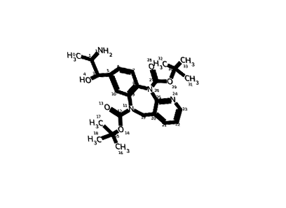 CC(N)C(O)c1ccc2c(c1)N(C(=O)OC(C)(C)C)Cc1cccnc1N2C(=O)OC(C)(C)C